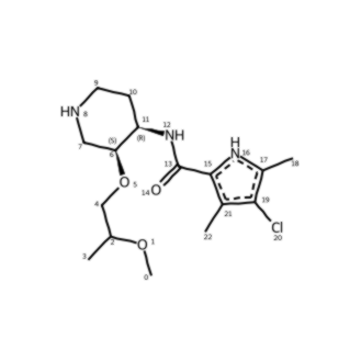 COC(C)CO[C@H]1CNCC[C@H]1NC(=O)c1[nH]c(C)c(Cl)c1C